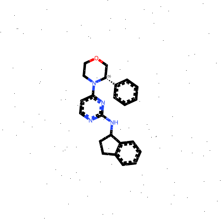 c1ccc([C@H]2COCCN2c2ccnc(NC3CCc4ccccc43)n2)cc1